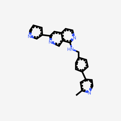 Cc1cc(-c2ccc(CNc3nccc4cc(-c5cccnc5)ncc34)cc2)ccn1